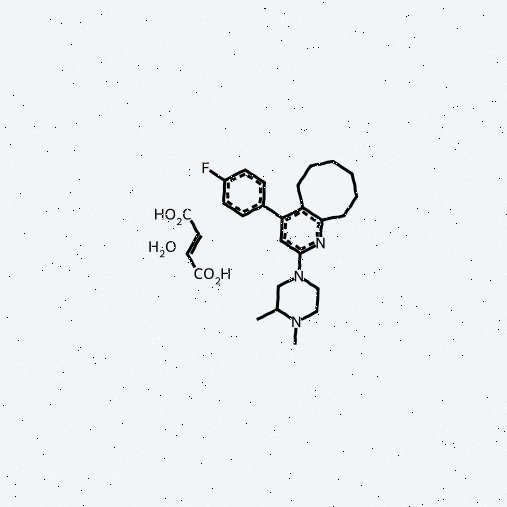 CC1CN(c2cc(-c3ccc(F)cc3)c3c(n2)CCCCCC3)CCN1C.O.O=C(O)/C=C/C(=O)O